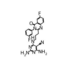 N#Cc1c(N)nc(N)nc1NCCCc1nc2ccc(F)cc2c(=O)n1-c1cccc(F)c1